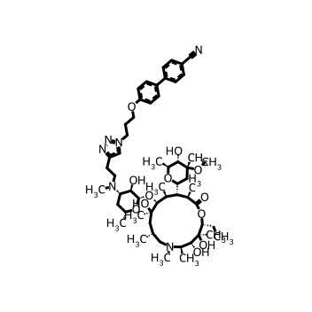 CC[C@H]1OC(=O)[C@H](C)[C@@H](C2C[C@@](C)(OC)[C@@H](O)[C@H](C)O2)[C@H](C)[C@@H](O[C@@H]2O[C@H](C)C[C@H](N(C)CCc3cn(CCCOc4ccc(-c5ccc(C#N)cc5)cc4)nn3)[C@H]2O)[C@](C)(O)C[C@@H](C)CN(C)[C@H](C)[C@@H](O)[C@]1(C)O